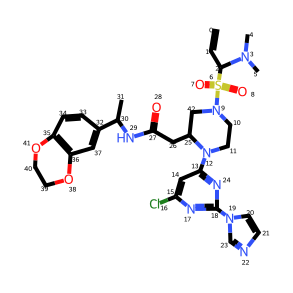 C=CC(N(C)C)S(=O)(=O)N1CCN(c2cc(Cl)nc(-n3ccnc3)n2)C(CC(=O)NC(C)c2ccc3c(c2)OCCO3)C1